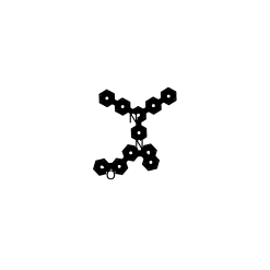 c1ccc(-c2ccc(-c3cc(-c4ccc(-c5ccccc5)cc4)nc(-c4ccc(-n5c6ccc(-c7ccc8oc9ccccc9c8c7)cc6c6c7ccccc7ccc65)cc4)c3)cc2)cc1